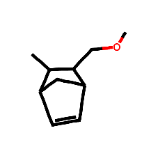 COCC1C2C=CC(C2)C1C